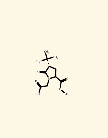 COC(=O)C1C[C@@H](C(C)(C)C)C(=O)N1CC(=O)O